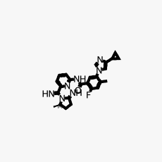 Cc1cc(F)c(C(=O)Nc2cccc(C(=N)N3C(=N)CC[C@H]3C)n2)cc1-n1cnc(C2CC2)c1